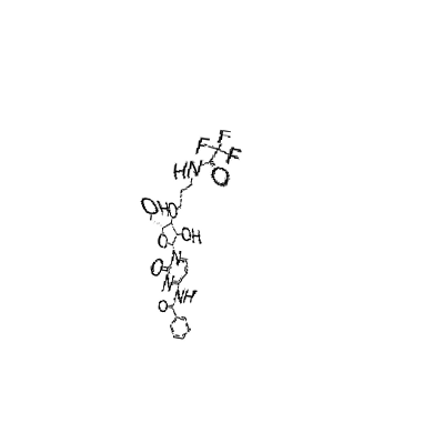 O=C(Nc1ccn([C@@H]2O[C@H](CO)C(OCCCNC(=O)C(F)(F)F)C2O)c(=O)n1)c1ccccc1